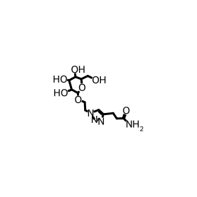 NC(=O)CCc1cn(CCOC2OC(CO)C(O)C(O)C2O)nn1